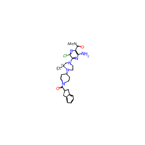 CC[C@H]1CN(c2nc(N)c(C(=O)NC)nc2Cl)CCN1C1CCN(C(=O)C2Cc3ccccc3C2)CC1